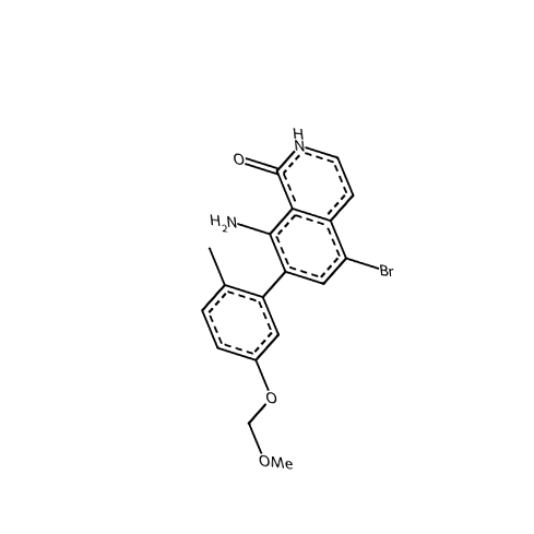 COCOc1ccc(C)c(-c2cc(Br)c3cc[nH]c(=O)c3c2N)c1